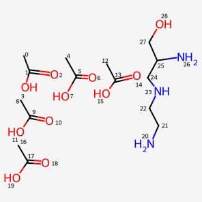 CC(=O)O.CC(=O)O.CC(=O)O.CC(=O)O.CC(=O)O.NCCNCC(N)CO